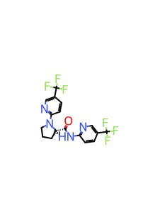 O=C(Nc1ccc(C(F)(F)F)cn1)[C@@H]1CCCN1c1ccc(C(F)(F)F)cn1